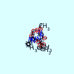 CCOC(=O)N1CCN(C(=O)[C@H](CCC(=O)OC(C)(C)C)NC(=O)c2cc(OCCO)nc(-c3ccccc3)n2)CC1